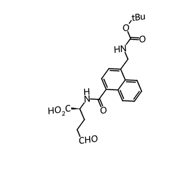 CC(C)(C)OC(=O)NCc1ccc(C(=O)N[C@@H](CCC=O)C(=O)O)c2ccccc12